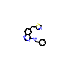 C1=NCSC1=Cc1ccc2ncnc(NCc3ccccc3)c2c1